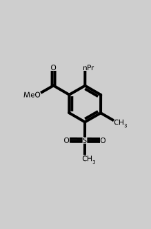 CCCc1cc(C)c(S(C)(=O)=O)cc1C(=O)OC